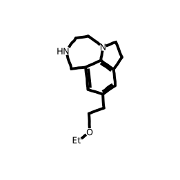 CCOCCc1cc2c3c(c1)CNCCN3CC2